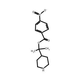 CC(C)(OC(=O)c1ccc([N+](=O)[O-])cc1)C1CCNCC1